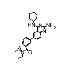 CCN(C(=O)c1cccc(-c2ccc3nc(N)nc(NC4CCCCC4)c3c2)c1)N(C)C